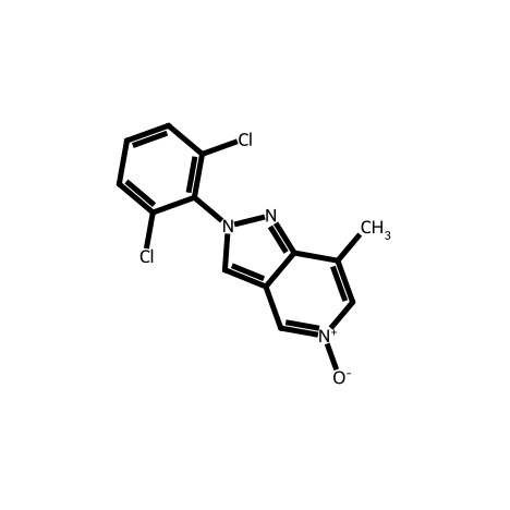 Cc1c[n+]([O-])cc2cn(-c3c(Cl)cccc3Cl)nc12